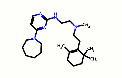 CC1=C(CCN(C)CCNc2nccc(N3CCCCCC3)n2)C(C)(C)CCC1